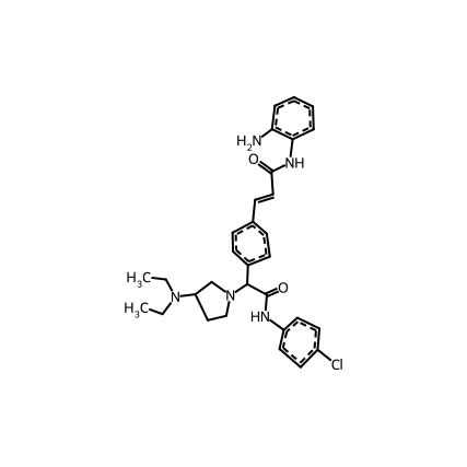 CCN(CC)C1CCN(C(C(=O)Nc2ccc(Cl)cc2)c2ccc(C=CC(=O)Nc3ccccc3N)cc2)C1